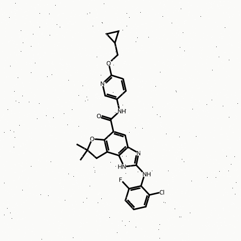 CC1(C)Cc2c(c(C(=O)Nc3ccc(OCC4CC4)nc3)cc3nc(Nc4c(F)cccc4Cl)[nH]c23)O1